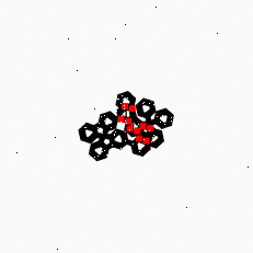 c1ccc(-c2cc3c(cc2N(c2ccccc2)c2ccccc2)C2(c4ccccc4-c4ccc(N(c5ccccc5)c5ccc6c(c5)C(c5ccccc5)(c5ccccc5)c5ccccc5-6)cc42)c2ccccc2-3)cc1